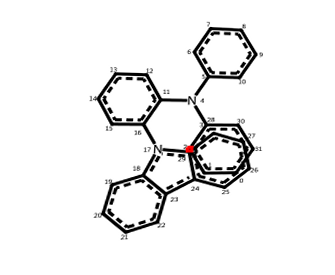 c1ccc(N(c2ccccc2)c2ccccc2-n2c3ccccc3c3ccccc32)cc1